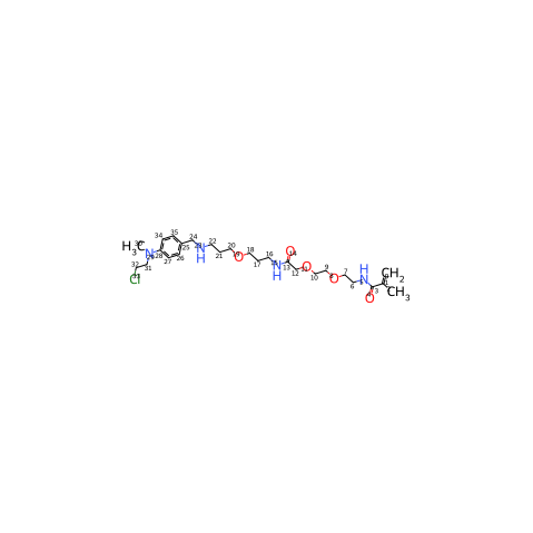 C=C(C)C(=O)NCCOCCOCC(=O)NCCCOCCCNCc1ccc(N(C)CCCl)cc1